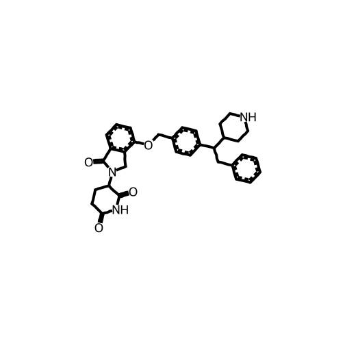 O=C1CCC(N2Cc3c(OCc4ccc(C(Cc5ccccc5)C5CCNCC5)cc4)cccc3C2=O)C(=O)N1